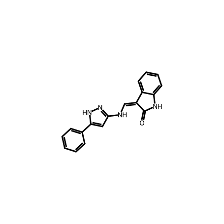 O=C1Nc2ccccc2C1=CNc1cc(-c2ccccc2)[nH]n1